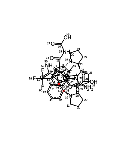 CC1(CC(N)=O)c2ccc(cc2)[C@]1(C(=O)NC(=O)O)N1CCCC1[C@H]1CC[C@H](C2CCCN2[C@@]2(C(=O)NC(=O)O)c3ccc(cc3)C2(C)CC(N)=O)N1c1ccc(C(F)(F)F)cc1